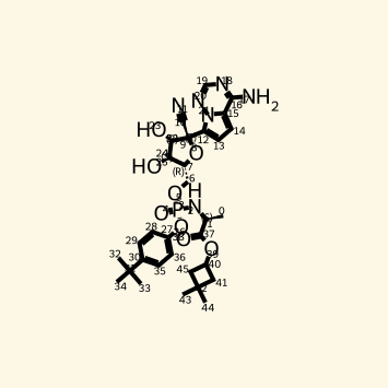 C[C@H](NP(=O)(OC[C@H]1O[C@@](C#N)(c2ccc3c(N)ncnn23)[C@H](O)[C@@H]1O)Oc1ccc(C(C)(C)C)cc1)C(=O)OC1CC(C)(C)C1